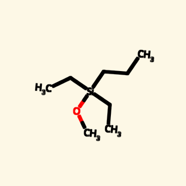 CCC[Si](CC)(CC)OC